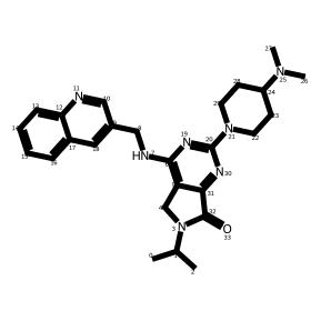 CC(C)N1Cc2c(NCc3cnc4ccccc4c3)nc(N3CCC(N(C)C)CC3)nc2C1=O